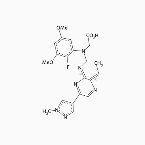 C/C=C1/N=CC(c2cnn(C)c2)=N/C1=N/CN(CC(=O)O)c1cc(OC)cc(OC)c1F